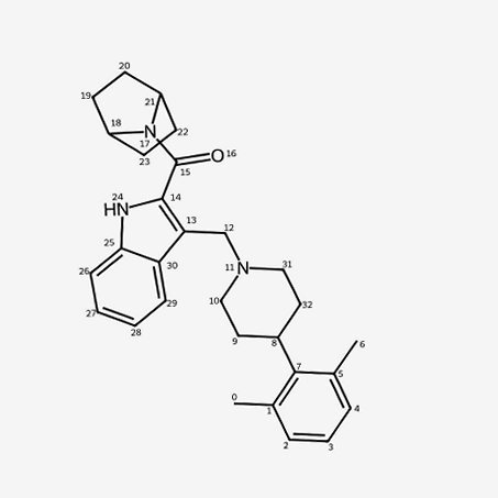 Cc1cccc(C)c1C1CCN(Cc2c(C(=O)N3C4CCC3CC4)[nH]c3ccccc23)CC1